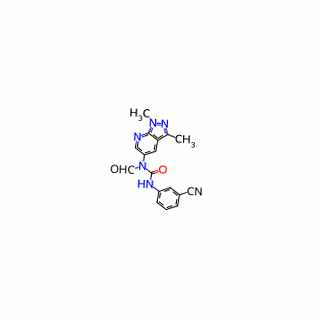 Cc1nn(C)c2ncc(N(C=O)C(=O)Nc3cccc(C#N)c3)cc12